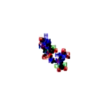 C=CC(=O)N[C@H]1COC[C@H]1Nc1cc2c(NCc3cnn(CCOc4cc(OC)c(Cl)c(-c5cc6cnc(N[C@@H]7COC[C@@H]7NC(=O)C=C)cc6c(NCc6cnn(CCO)c6)n5)c4Cl)c3)nc(-c3c(Cl)c(OC)cc(OC)c3Cl)cc2cn1